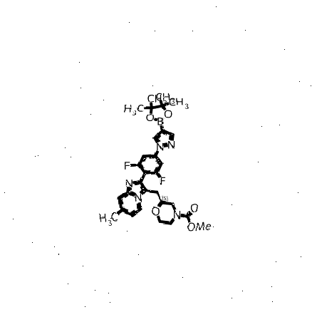 COC(=O)N1CCO[C@@H](Cc2c(-c3c(F)cc(-n4cc(B5OC(C)(C)C(C)(C)O5)cn4)cc3F)nc3cc(C)ccn23)C1